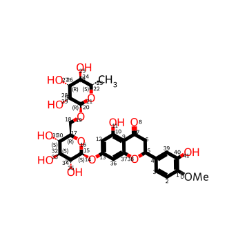 COc1ccc(C2CC(=O)c3c(O)cc(O[C@@H]4O[C@H](CO[C@@H]5O[C@@H](C)[C@H](O)[C@@H](O)[C@H]5O)[C@@H](O)[C@H](O)[C@H]4O)cc3O2)cc1O